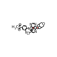 CS(=O)(=O)c1ccc(-n2ccc3c(OC4C5COCC4CN(c4ncc(Cl)cn4)C5)ncnc32)c(F)c1